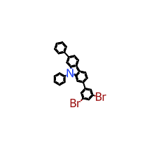 Brc1cc(Br)cc(-c2ccc3c4ccc(-c5ccccc5)cc4n(-c4ccccc4)c3c2)c1